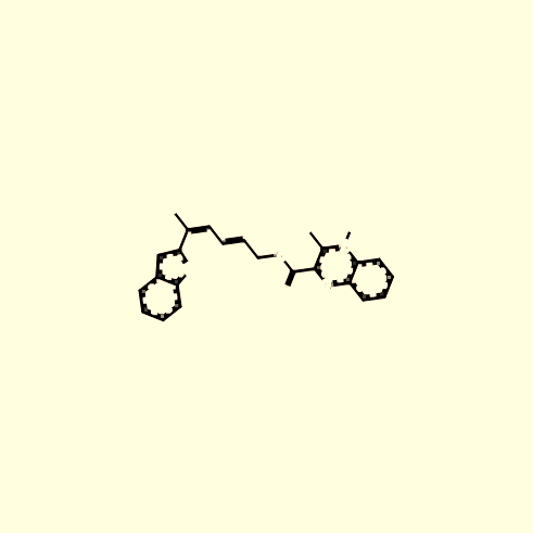 C/C(=C/C=C/CNC(=O)c1nc2ccccc2[n+]([O-])c1C)c1cc2ccccc2o1